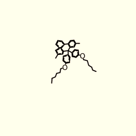 CCCCCCOc1ccc(C2(c3ccc(OCCCCCC)cc3)c3cc(C)ccc3-c3cccc4cc(C)cc2c34)cc1